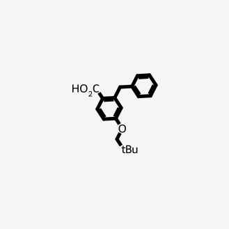 CC(C)(C)COc1ccc(C(=O)O)c(Cc2ccccc2)c1